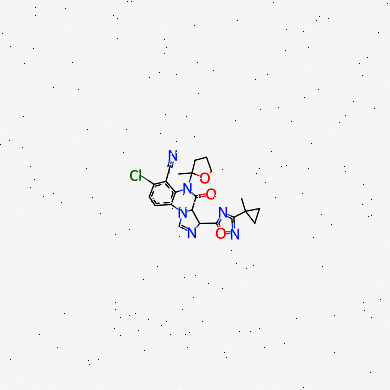 CC1(c2noc(C3N=CN4c5ccc(Cl)c(C#N)c5N(C5(C)CCCO5)C(=O)C34)n2)CC1